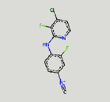 [C-]#[N+]c1ccc(Nc2nccc(Cl)c2F)c(F)c1